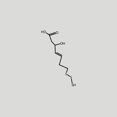 O=C(O)CC(O)C=CCCSSS